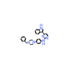 c1ccc(CN2CCN(c3ccc(Nc4nccc(-c5c[nH]c6ccccc56)n4)cc3)CC2)cc1